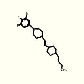 CCCCC1CCC(/C=C/C2CCC(c3cc(F)c(F)c(F)c3)CC2)CC1